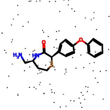 NC[C@@H]1CCS[C@H](c2ccc(Oc3ccccc3)cc2)C(=O)N1